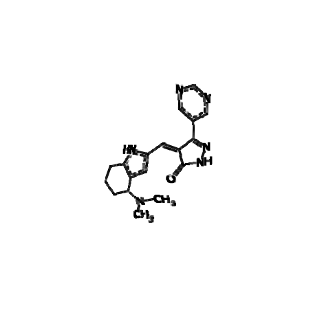 CN(C)C1CCCc2[nH]c(C=C3C(=O)NN=C3c3cncnc3)cc21